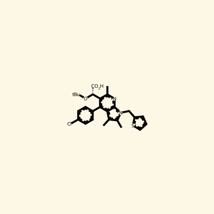 Cc1nc2c(c(C)c(C)n2Cc2cccs2)c(-c2ccc(Cl)cc2)c1[C@H](OC(C)(C)C)C(=O)O